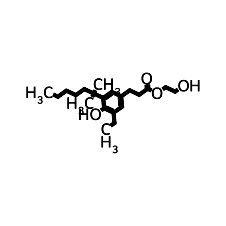 CCCCCC(C)(C)c1cc(CCC(=O)OCCO)cc(CC)c1O